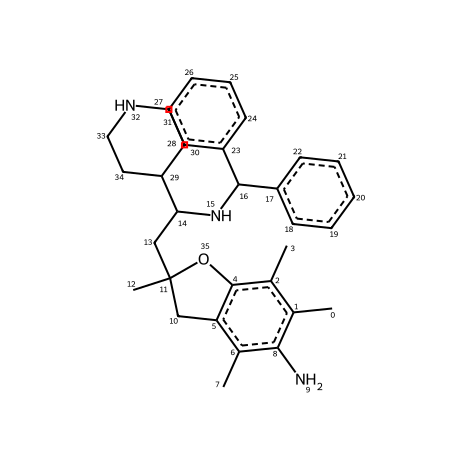 Cc1c(C)c2c(c(C)c1N)CC(C)(CC(NC(c1ccccc1)c1ccccc1)C1CCNCC1)O2